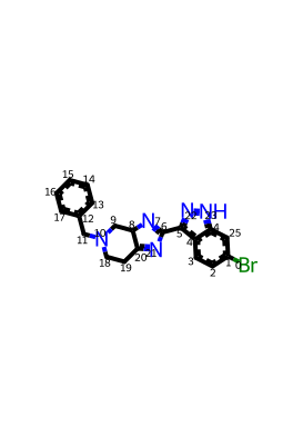 Brc1ccc2c(C3=NC4CN(Cc5ccccc5)CCC4=N3)n[nH]c2c1